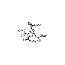 CCC(CO[Si](OCC(CC)OC)(OCC(CC)OC)OCC(CC)OC)OC